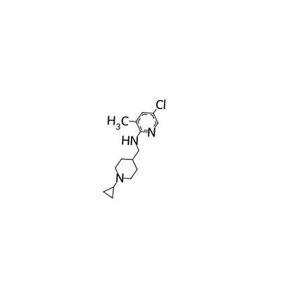 Cc1cc(Cl)cnc1NCC1CCN(C2CC2)CC1